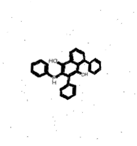 Oc1c(Pc2ccccc2)c(-c2ccccc2)c(O)c2c(-c3ccccc3)cccc12